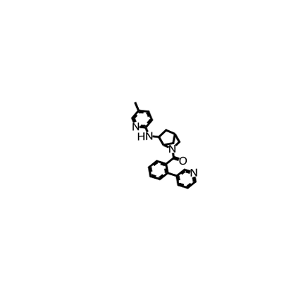 Cc1ccc(NC2CC3CC2N(C(=O)c2ccccc2-c2cccnc2)C3)nc1